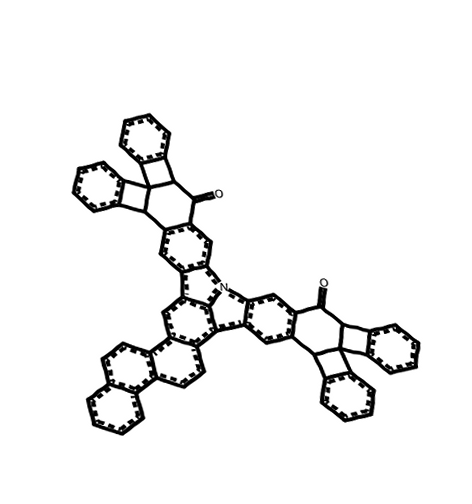 O=C1c2cc3c(cc2C2c4ccccc4C24c2ccccc2C14)c1cc2c4ccc5ccccc5c4ccc2c2c4cc5c(cc4n3c12)C(=O)C1c2ccccc2C12c1ccccc1C52